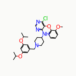 COc1ccccc1Oc1c(Cl)ncnc1NC1CCN(Cc2cc(OC(C)C)cc(OC(C)C)c2)CC1